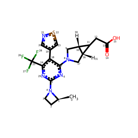 C[C@H]1CCN1c1nc(N2C[C@@H]3C(CC(=O)O)[C@@H]3C2)c(-c2cnsc2)c(C(F)(F)F)n1